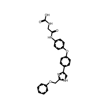 O=C(O)NCC(=O)Nc1ccc(Oc2ccc(-c3c[nH]c(COc4ccccc4)n3)cc2)cc1